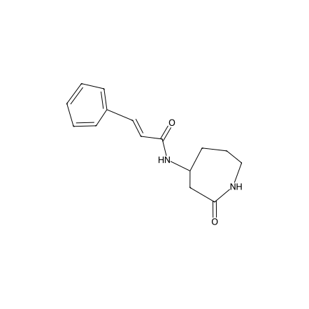 O=C(C=Cc1ccccc1)NC1CCCNC(=O)C1